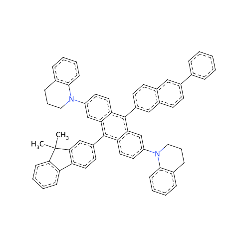 CC1(C)c2ccccc2-c2ccc(-c3c4ccc(N5CCCc6ccccc65)cc4c(-c4ccc5cc(-c6ccccc6)ccc5c4)c4ccc(N5CCCc6ccccc65)cc34)cc21